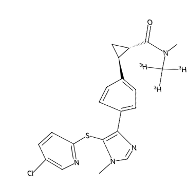 [3H]C([3H])([3H])N(C)C(=O)[C@H]1C[C@@H]1c1ccc(-c2ncn(C)c2Sc2ccc(Cl)cn2)cc1